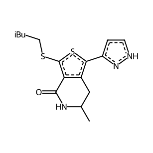 CCC(C)CSc1sc(-c2cc[nH]n2)c2c1C(=O)NC(C)C2